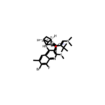 CSc1nc2c(F)c(Br)c(C)cc2c(N[C@H]2[C@@H]3C[C@H]2N(C(=O)OC(C)(C)C)C3)c1C(=O)/C=C/N(C)C